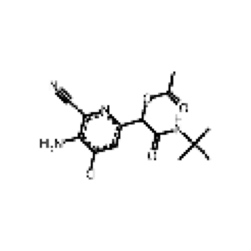 CC(=O)OC(C(=O)NC(C)(C)C)c1cc(Cl)c(N)c(C#N)n1